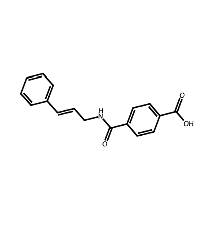 O=C(O)c1ccc(C(=O)NC/C=C/c2ccccc2)cc1